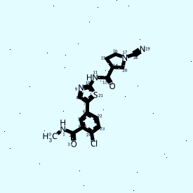 CNC(=O)c1cc(-c2cnc(NC(=O)C3CCN(C#N)C3)s2)ccc1Cl